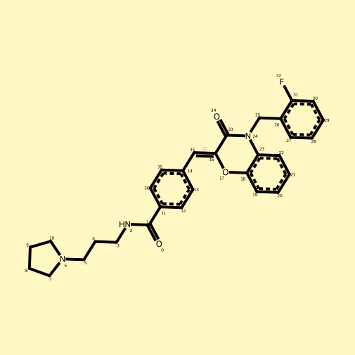 O=C(NCCCN1CCCC1)c1ccc(/C=C2\Oc3ccccc3N(Cc3ccccc3F)C2=O)cc1